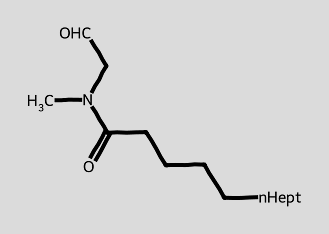 CCCCCCCCCCCC(=O)N(C)CC=O